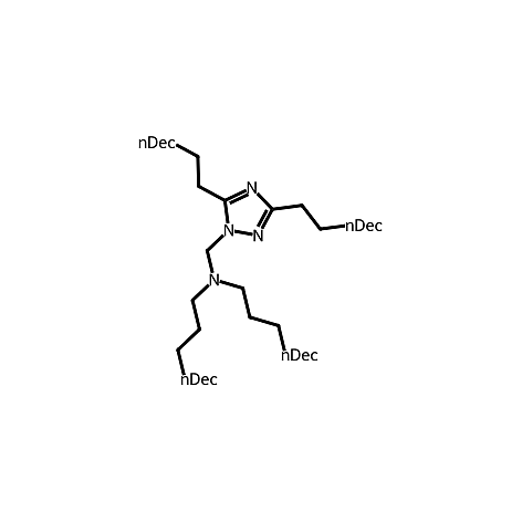 CCCCCCCCCCCCCN(CCCCCCCCCCCCC)Cn1nc(CCCCCCCCCCCC)nc1CCCCCCCCCCCC